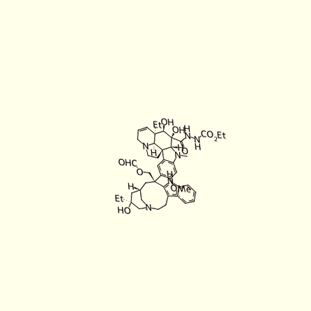 CCOC(=O)NNC(=O)[C@@]1(O)[C@H](O)[C@]2(CC)C=CCN3CC[C@@]4(c5cc([C@@]6(COC=O)C[C@@H]7CN(CCc8c6[nH]c6ccccc86)C[C@](O)(CC)C7)c(OC)cc5N(C)[C@@H]14)[C@@H]32